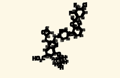 [2H]C([2H])([2H])C([2H])([2H])Oc1cc(C(=O)O)cc2c1nc(CN1CCN(c3cccc4c3OC(C)(c3ccc(Cl)c(F)c3F)O4)C=N1)n2C[C@@H]1CCO1